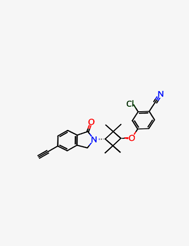 C#Cc1ccc2c(c1)CN([C@H]1C(C)(C)[C@H](Oc3ccc(C#N)c(Cl)c3)C1(C)C)C2=O